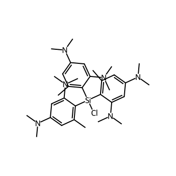 Cc1cc(N(C)C)cc(N(C)C)c1[Si](Cl)(c1c(C)cc(N(C)C)cc1N(C)C)c1c(C)cc(N(C)C)cc1N(C)C